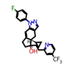 O[C@@]1(CCc2cc(C(F)(F)F)ccn2)CCC2=Cc3c(cnn3-c3ccc(F)cc3)C[C@@]21C1CC1